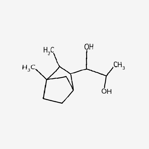 CC(O)C(O)C1C2CCC(C)(C2)C1C